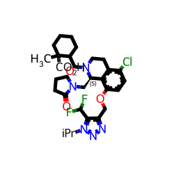 CC(C)n1nnc(COc2ccc(Cl)c3c2[C@@H](CN2CCCC2=O)N(C(=O)C2CCCCC2(C)C(=O)O)CC3)c1C(F)F